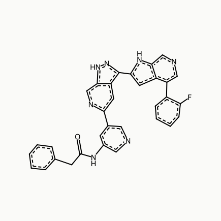 O=C(Cc1ccccc1)Nc1cncc(-c2cc3c(-c4cc5c(-c6ccccc6F)cncc5[nH]4)n[nH]c3cn2)c1